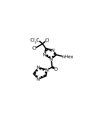 CCCCCCc1nc(C(Cl)(Cl)C(Cl)(Cl)Cl)nn1C(=O)n1cncn1